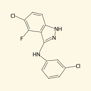 Fc1c(Cl)ccc2[nH]nc(Nc3cccc(Cl)c3)c12